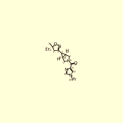 CC[C@@]1(C)CC(C2[C@H]3CN(C(=O)c4cn(C(C)C)cn4)C[C@@H]23)=NO1